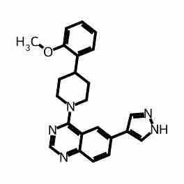 COc1ccccc1C1CCN(c2ncnc3ccc(-c4cn[nH]c4)cc23)CC1